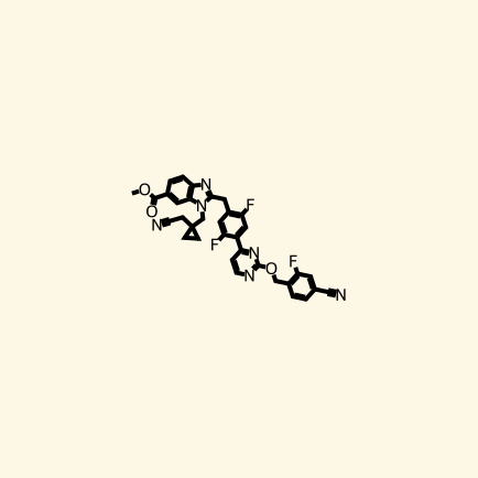 COC(=O)c1ccc2nc(Cc3cc(F)c(-c4ccnc(OCc5ccc(C#N)cc5F)n4)cc3F)n(CC3(CC#N)CC3)c2c1